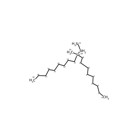 CCCCCCCCC[Si](C)(CCCCCCCCC)[SiH2][SiH3]